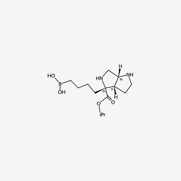 CC(C)OC(=O)[C@]1(CCCCB(O)O)NC[C@@H]2NCC[C@@H]21